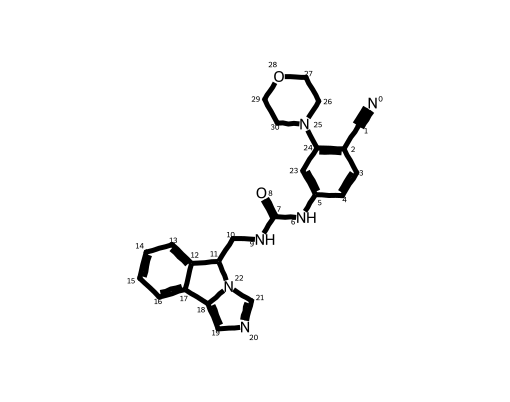 N#Cc1ccc(NC(=O)NCC2c3ccccc3-c3cncn32)cc1N1CCOCC1